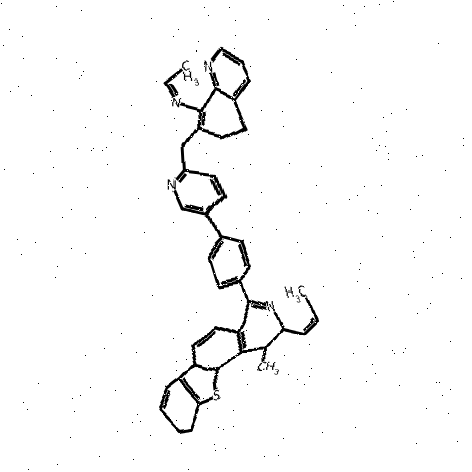 C/C=C\C1N=C(c2ccc(-c3ccc(CC4=C(/N=C\C)c5ncccc5CC4)nc3)cc2)C2=C(C1C)C1SC3=C(C=CCC3)C1C=C2